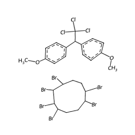 BrC1CCC(Br)C(Br)C(Br)C(Br)CCC1Br.COc1ccc(C(c2ccc(OC)cc2)C(Cl)(Cl)Cl)cc1